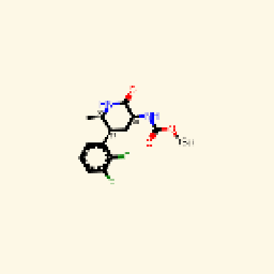 C[C@H]1NC(=O)[C@@H](NC(=O)OC(C)(C)C)C[C@H]1c1cccc(F)c1F